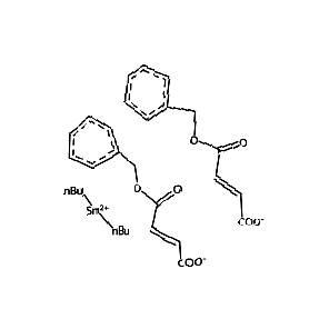 CCC[CH2][Sn+2][CH2]CCC.O=C([O-])C=CC(=O)OCc1ccccc1.O=C([O-])C=CC(=O)OCc1ccccc1